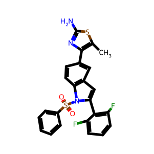 Cc1sc(N)nc1-c1ccc2c(c1)cc(-c1c(F)cccc1F)n2S(=O)(=O)c1ccccc1